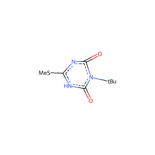 CSc1nc(=O)n(C(C)(C)C)c(=O)[nH]1